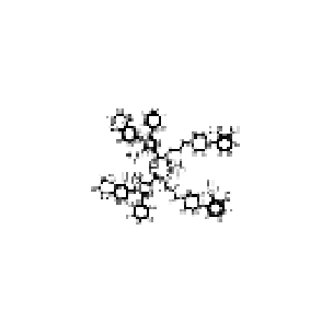 Cc1c(C(=O)N(C)CCCN2CCN(c3cccc(Cl)c3Cl)CC2)nc(-c2ccccc2)n1-c1ccc2c(c1)OCCO2.Cc1c(Cl)cccc1N1CCN(CCCN(C)C(=O)c2nc(-c3ccccc3)n(-c3ccc4c(c3)OCCO4)c2C)CC1